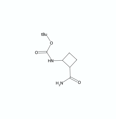 CC(C)(C)OC(=O)NC1CCC1C(N)=O